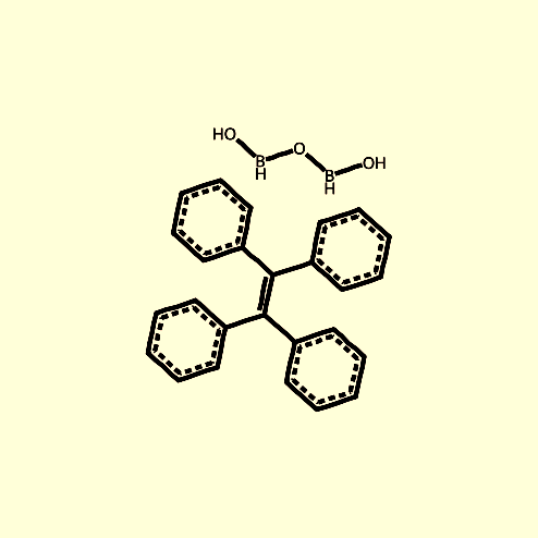 OBOBO.c1ccc(C(=C(c2ccccc2)c2ccccc2)c2ccccc2)cc1